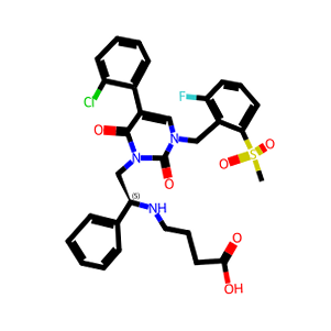 CS(=O)(=O)c1cccc(F)c1Cn1cc(-c2ccccc2Cl)c(=O)n(C[C@@H](NCCCC(=O)O)c2ccccc2)c1=O